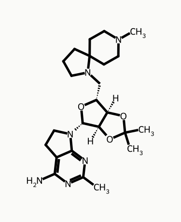 Cc1nc(N)c2c(n1)N([C@@H]1O[C@H](CN3CCCC34CCN(C)CC4)[C@H]3OC(C)(C)O[C@H]31)CC2